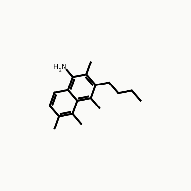 CCCCc1c(C)c(N)c2ccc(C)c(C)c2c1C